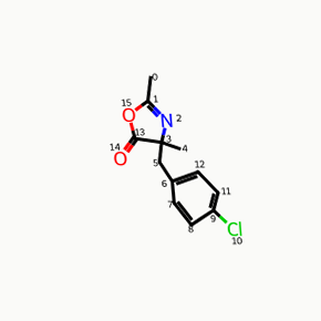 CC1=NC(C)(Cc2ccc(Cl)cc2)C(=O)O1